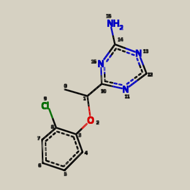 CC(Oc1ccccc1Cl)c1ncnc(N)n1